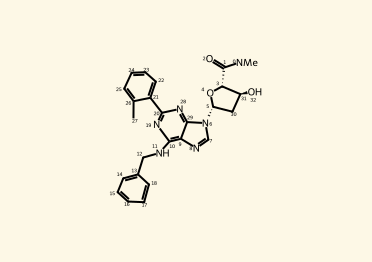 CNC(=O)[C@H]1O[C@@H](n2cnc3c(NCc4ccccc4)nc(-c4ccccc4C)nc32)C[C@@H]1O